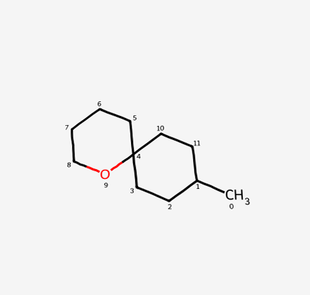 CC1CCC2(CCCCO2)CC1